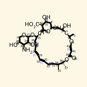 CC1CC(O)CC2(O)C[C@H](O)[C@@H](C(=O)O)[C@H](CC(OC3OC[C@@H](O)[C@H](N)[C@@H]3O)/C=C/C=C/C=C/C=C/[C@H](C)[C@@H](C)OC(=O)/C=C/O1)O2